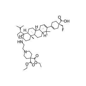 CCOC(=O)C1(C(=O)OCC)CCN(CCN[C@]23CC[C@@H](C(C)C)[C@@H]2[C@H]2CC[C@@H]4[C@@]5(C)CC=C(C6=CC[C@@](CF)(C(=O)O)CC6)C(C)(C)[C@@H]5CC[C@@]4(C)[C@]2(C)CC3)CC1